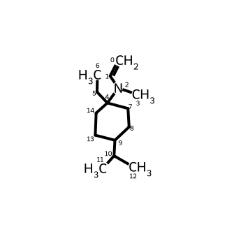 C=CN(C)C1(CC)CCC(C(C)C)CC1